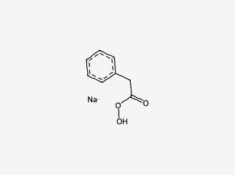 O=C(Cc1ccccc1)OO.[Na]